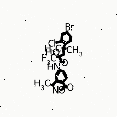 Cc1noc(=O)c2ccc(NC(=O)C(O)(CC(C)(C)c3ccc(Br)cc3Cl)C(F)(F)F)cc12